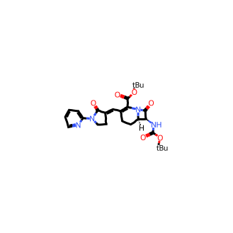 CC(C)(C)OC(=O)N[C@@H]1C(=O)N2C(C(=O)OC(C)(C)C)=C(C=C3CCN(c4ccccn4)C3=O)CC[C@H]12